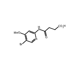 COc1cc(NC(=O)CCC(=O)O)ncc1Br